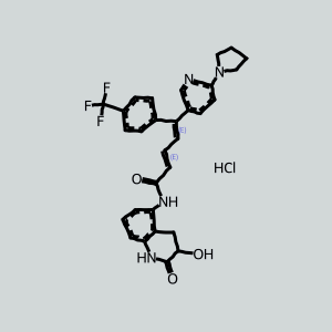 Cl.O=C(/C=C/C=C(\c1ccc(C(F)(F)F)cc1)c1ccc(N2CCCC2)nc1)Nc1cccc2c1CC(O)C(=O)N2